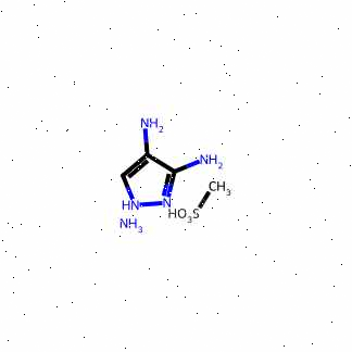 CS(=O)(=O)O.N.Nc1c[nH]nc1N